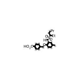 CCC(CC(C)C)S(=O)(=O)Nc1cc(C)ccc1OCc1ccc(C(=O)O)cc1